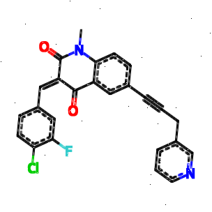 CN1C(=O)/C(=C/c2ccc(Cl)c(F)c2)C(=O)c2cc(C#CCc3cccnc3)ccc21